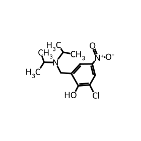 CC(C)N(Cc1cc([N+](=O)[O-])cc(Cl)c1O)C(C)C